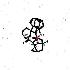 O=C(O)[C@H]1N(C(=O)C2(c3ccccc3)CCCCC2)C[C@@H]2CC3C[C@@]31N2C(=O)Nc1ccccc1